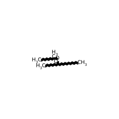 CCCCCCCCCCCCC(CCCCCCCC)COC(=O)C(C)CCCCCCCC